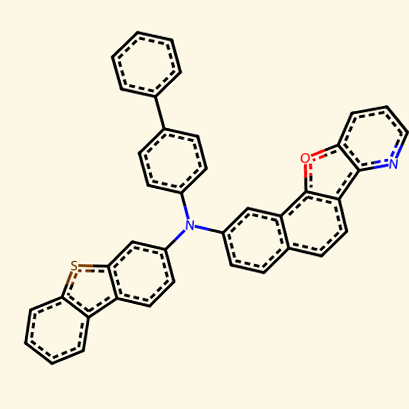 c1ccc(-c2ccc(N(c3ccc4c(c3)sc3ccccc34)c3ccc4ccc5c6ncccc6oc5c4c3)cc2)cc1